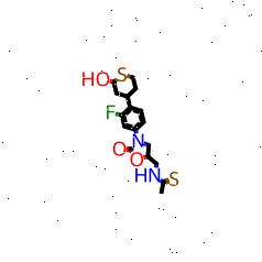 CC(=S)NCC1CN(c2ccc(C3CCSC(O)C3)c(F)c2)C(=O)O1